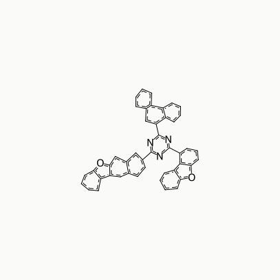 c1ccc2c(c1)cc(-c1nc(-c3ccc4cc5c(cc4c3)oc3ccccc35)nc(-c3cccc4oc5ccccc5c34)n1)c1ccccc12